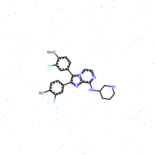 COc1ccc(-c2c(-c3ccc(C#N)c(F)c3)nc3c(NC4CCCNC4)nccn23)cc1F